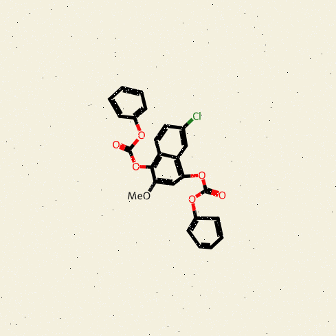 COc1cc(OC(=O)Oc2ccccc2)c2cc(Cl)ccc2c1OC(=O)Oc1ccccc1